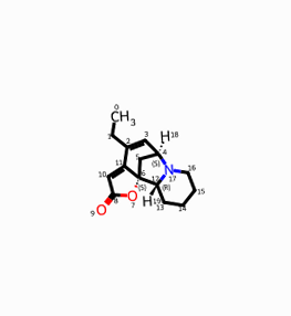 CCC1=C[C@@H]2C[C@@]3(OC(=O)C=C13)[C@H]1CCCCN21